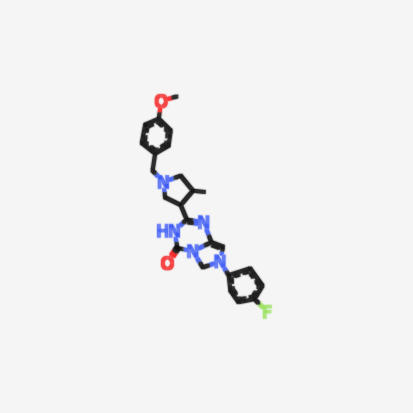 COc1ccc(CN2CC(C)C(C3=NC4=CN(c5ccc(F)cc5)CN4C(=O)N3)C2)cc1